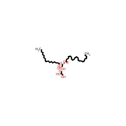 CC/C=C\C/C=C\C/C=C\C/C=C\C/C=C\C/C=C\CCC(=O)OC[C@H](COP(=O)(O)OC[C@@H](O)CO)OC(=O)CCCCCCC/C=C\CCCCCCCC